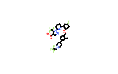 Cc1cc(C2CCN(CC(F)(F)F)CC2)ccc1COc1ccc(F)cc1-c1cccc(-n2ncc(C(=O)O)c2C(F)(F)F)n1